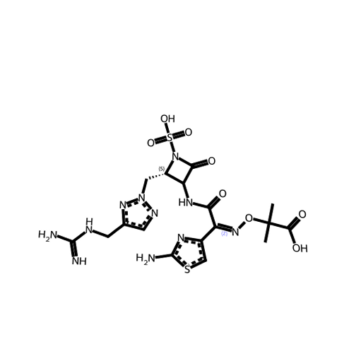 CC(C)(O/N=C(\C(=O)NC1C(=O)N(S(=O)(=O)O)[C@H]1Cn1ncc(CNC(=N)N)n1)c1csc(N)n1)C(=O)O